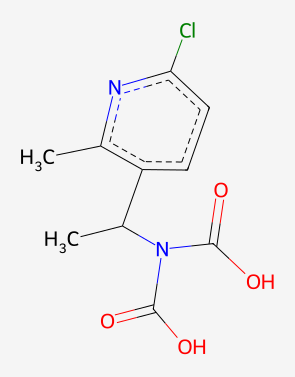 Cc1nc(Cl)ccc1C(C)N(C(=O)O)C(=O)O